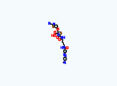 CN(C)c1ccc(/N=N/c2ccc(C(=O)NCCCCCC(=O)NC3C(=O)N4C(C(=O)O)=C(COc5ccc6nc(C#N)sc6c5)CSC34)cc2)cc1